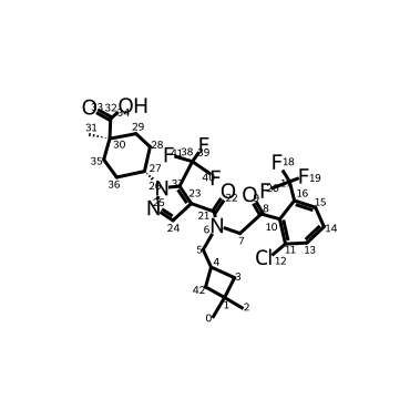 CC1(C)CC(CN(CC(=O)c2c(Cl)cccc2C(F)(F)F)C(=O)c2cnn([C@H]3CC[C@](C)(C(=O)O)CC3)c2C(F)(F)F)C1